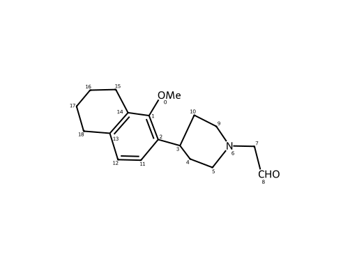 COc1c(C2CCN(CC=O)CC2)ccc2c1CCCC2